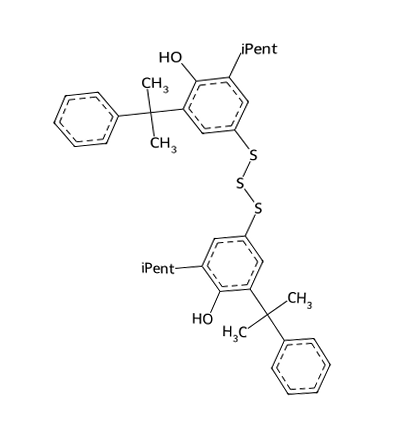 CCCC(C)c1cc(SSSc2cc(C(C)CCC)c(O)c(C(C)(C)c3ccccc3)c2)cc(C(C)(C)c2ccccc2)c1O